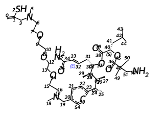 C=C(S)CN(C)CCOCCOCCOCCN(C)Cc1ccc([C@@H](C)[C@H](C)[C@@H](C)[C@H](C/C=C/C(N)=O)OC(=O)[C@H](CC(C)C)OC(=O)C(C)(C)CN)cc1